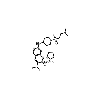 CN(C)CCS(=O)(=O)N1CCC(Nc2ncc3cc(C(F)F)c(=O)n([C@@H]4CCC[C@@]4(C)O)c3n2)CC1